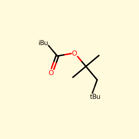 CCC(C)C(=O)OC(C)(C)CC(C)(C)C